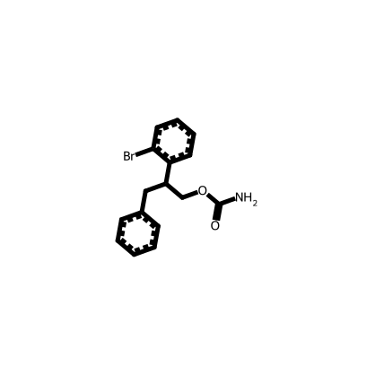 NC(=O)OCC(Cc1ccccc1)c1ccccc1Br